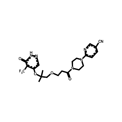 CC(C)(COCCC(=O)N1CCN(c2ccc(C#N)cn2)CC1)Oc1cn[nH]c(=O)c1C(F)(F)F